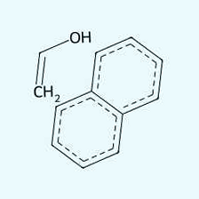 C=CO.c1ccc2ccccc2c1